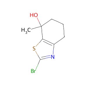 CC1(O)CCCc2nc(Br)sc21